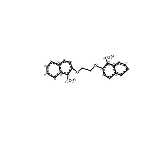 O=C(O)c1c(OCCOc2ccc3ccccc3c2C(=O)O)ccc2ccccc12